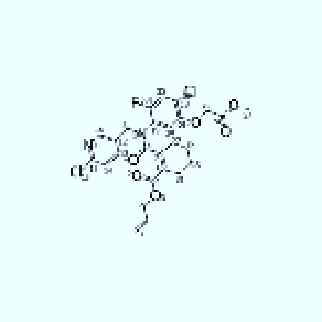 C=CCOC(=O)C1=C(C(=O)N(Cc2ccc(Cl)nc2)c2cc(OCC(=O)OC)c(Cl)cc2F)CCCC1